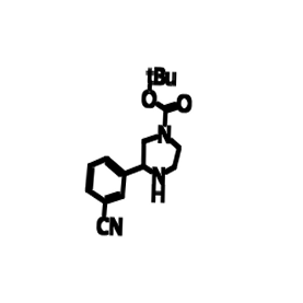 CC(C)(C)OC(=O)N1CCNC(c2cccc(C#N)c2)C1